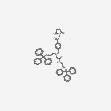 O=C(CN(CCSC(c1ccccc1)(c1ccccc1)c1ccccc1)Cc1ccc(C(=O)ON2C(=O)CCC2=O)cc1)NCCSC(c1ccccc1)(c1ccccc1)c1ccccc1